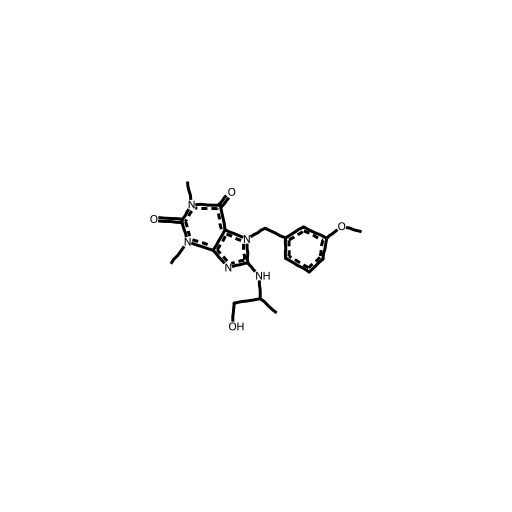 COc1cccc(Cn2c(NC(C)CO)nc3c2c(=O)n(C)c(=O)n3C)c1